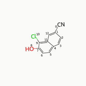 N#Cc1ccc2ccc(O)c(Cl)c2c1